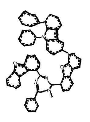 CN1C(c2ccccc2)=NC(c2cccc3oc4ccccc4c23)=NC1c1cccc2c1oc1c(-c3ccc4c(c3)c3cccc(-c5ccccc5)c3n4-c3ccccc3)cccc12